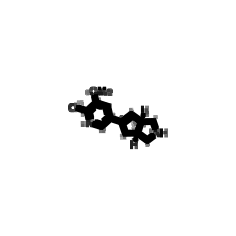 COc1cc(C2=C[C@@H]3CNC[C@@H]3C2)cnc1Cl